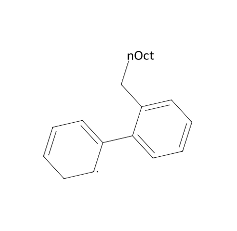 CCCCCCCCCc1ccccc1C1=CC=CC[CH]1